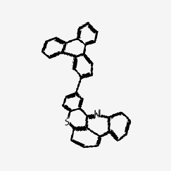 c1ccc2c(c1)nc1c3c(cccc32)Sc2ccc(-c3ccc4c5ccccc5c5ccccc5c4c3)cc2-1